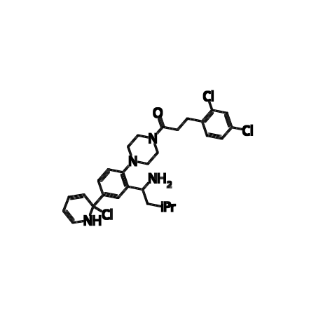 CC(C)CC(N)c1cc(C2(Cl)C=CC=CN2)ccc1N1CCN(C(=O)CCc2ccc(Cl)cc2Cl)CC1